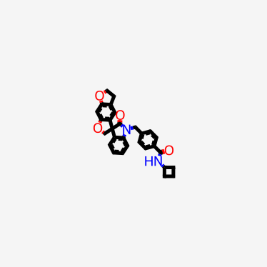 O=C(NC1CCC1)c1ccc(CN2C(=O)C3(COc4cc5c(cc43)CCO5)c3ccccc32)cc1